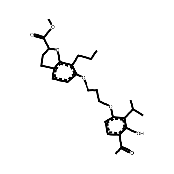 CCCc1c(OCCCOc2ccc(C(C)=O)c(O)c2C(C)C)ccc2c1OC(C(=O)OC)CC2